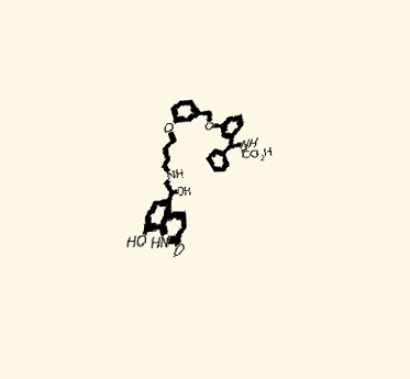 O=C(O)NC(c1ccccc1)c1cccc(OCc2cccc(OCCCCNCC(O)c3ccc(O)c4[nH]c(=O)ccc34)c2)c1